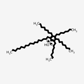 CCCCCCCCCCCCCCCCCCc1c(CCCCCCCC)c(CCCCCCCC)c(CCCCCCCC)c(CCCCCCCC)c1S(=O)(=O)O